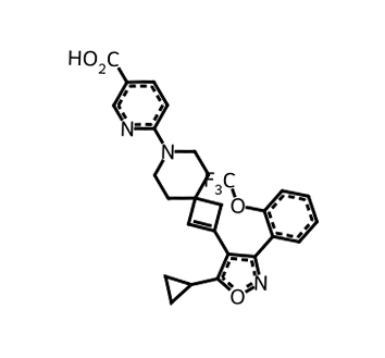 O=C(O)c1ccc(N2CCC3(C=C(c4c(-c5ccccc5OC(F)(F)F)noc4C4CC4)C3)CC2)nc1